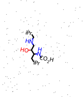 CC(C)CNC[C@H](O)C(CC(C)C)NC(=O)O